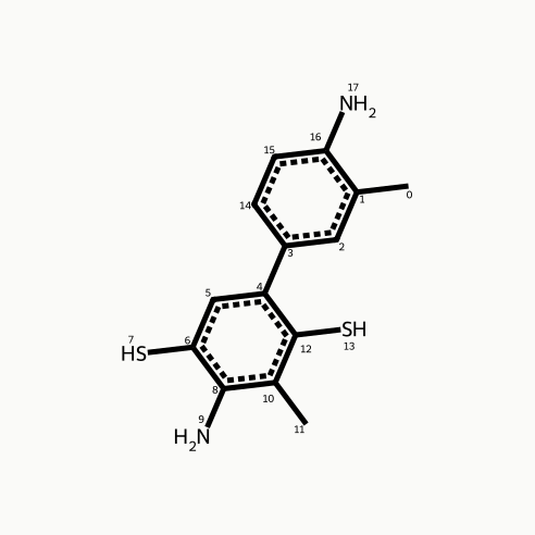 Cc1cc(-c2cc(S)c(N)c(C)c2S)ccc1N